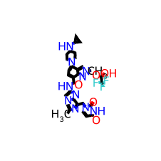 Cc1cn2cc(NC(=O)c3ccc(N4CCC(NC5CC5)CC4)c4cn(C)nc34)nc2c(Cn2ccc(=O)[nH]c2=O)n1.O=C(O)C(F)(F)F